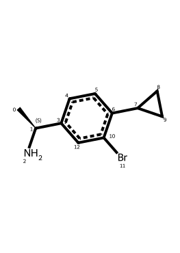 C[C@H](N)c1ccc(C2CC2)c(Br)c1